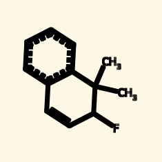 CC1(C)c2ccccc2C=CC1F